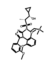 COc1cccc(-c2nnc(N(CC[Si](C)(C)C)S(=O)(=O)[C@H](C)[C@@H](O)C3CC3)n2-c2c(OC)cccc2OC)n1